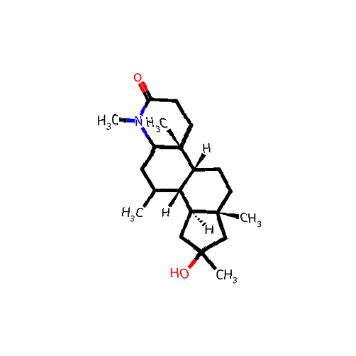 CC1CC2N(C)C(=O)CC[C@]2(C)[C@@H]2CC[C@]3(C)CC(C)(O)C[C@H]3[C@H]12